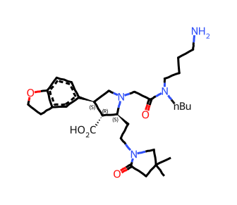 CCCCN(CCCCN)C(=O)CN1C[C@H](c2ccc3c(c2)CCO3)[C@@H](C(=O)O)[C@@H]1CCN1CC(C)(C)CC1=O